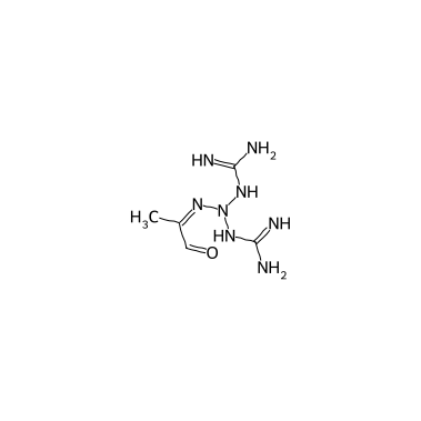 CC(C=O)=NN(NC(=N)N)NC(=N)N